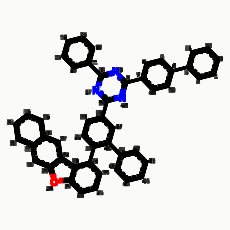 c1ccc(-c2ccc(-c3nc(-c4ccccc4)nc(-c4ccc(-c5cccc6oc7cc8ccccc8cc7c56)c(-c5ccccc5)c4)n3)cc2)cc1